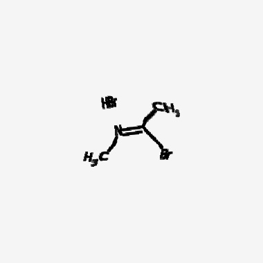 Br.CN=C(C)Br